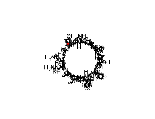 CCCC[C@H]1C(=O)N[C@@H](CCCNC(=N)N)C(=O)N[C@H](C(=O)NCC(N)=O)CSCC(=O)N[C@@H](Cc2ccc(O)cc2)C(=O)N(C)[C@@H](C)C(=O)N[C@@H](CC(N)=O)C(=O)N2CCC[C@H]2C(=O)N[C@@H](Cc2cnc[nH]2)C(=O)N[C@@H](CC(C)C)C(=O)N2C[C@H](O)C[C@H]2C(=O)N[C@@H](Cc2c[nH]c3ccccc23)C(=O)N[C@@H](CO)C(=O)N[C@@H](Cc2cccc3ccccc23)c2nnnn2[C@@H](CCCC)C(=O)N1C